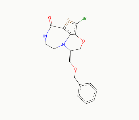 O=C1NCCN2c3c1sc(Br)c3OC[C@H]2COCc1ccccc1